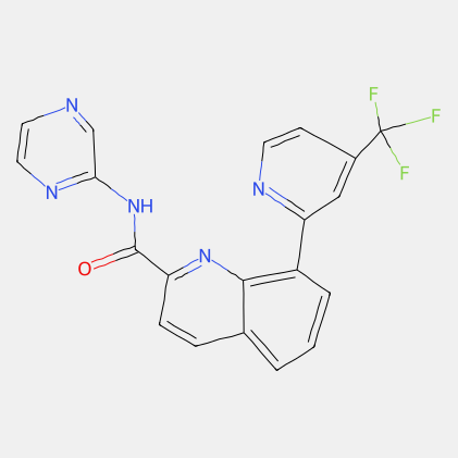 O=C(Nc1cnccn1)c1ccc2cccc(-c3cc(C(F)(F)F)ccn3)c2n1